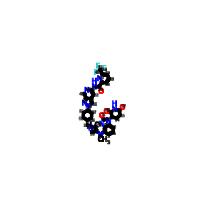 CN(c1cccc2c1n(C)c(=O)n2C1CCC(=O)NC1=O)C1CN(C[C@H]2CC[C@H](n3cc4cc(NC(=O)c5cccc(C(F)(F)F)n5)ncc4n3)CC2)C1